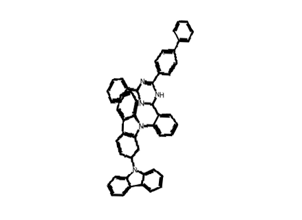 C1=CC(n2c3ccccc3c3ccccc32)Cc2c1c1ccccc1n2-c1ccccc1C1NC(c2ccc(-c3ccccc3)cc2)=NC(c2ccccc2)N1